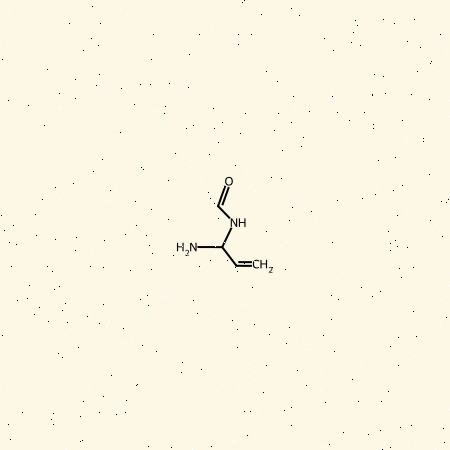 C=CC(N)NC=O